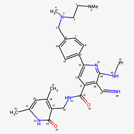 CNCCN(C)Cc1ccc(-c2cc(C(=O)NCc3c(C)cc(C)[nH]c3=O)c(C=N)c(NC(C)C)n2)cc1